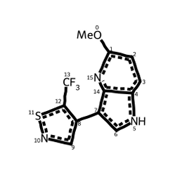 COc1ccc2[nH]cc(-c3cnsc3C(F)(F)F)c2n1